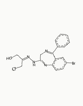 OCC(CCl)=NNC1=Nc2ccc(Br)cc2C(c2ccccc2)=NC1